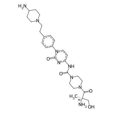 C[C@@](N)(CO)C(=O)N1CCN(C(=O)Nc2ccn(-c3ccc(CCN4CCC(N)CC4)cc3)c(=O)n2)CC1